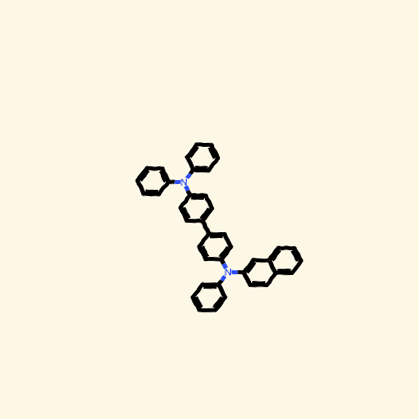 c1ccc(N(c2ccccc2)c2ccc(-c3ccc(N(c4ccccc4)c4ccc5ccccc5c4)cc3)cc2)cc1